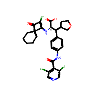 O=C(Nc1ccc(C(C2CCOC2)[C@H](NC2=C(Br)C(=O)C23CCCCC3)C(=O)O)cc1)c1c(Cl)cncc1Cl